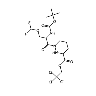 CC(C)(C)OC(=O)NC(COC(F)F)C(=O)N1CCCC(C(=O)OCC(Cl)(Cl)Cl)N1